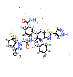 NC(=O)c1cc(-c2cc3sc(-c4cn[nH]c4)nc3nc2[C@H](Cc2cc(F)cc(F)c2)NC(=O)Cn2nc(C(F)(F)F)c3c2C(F)(F)CC3)ccc1F